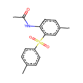 CC(=O)Nc1ccc(C)cc1S(=O)(=O)c1ccc(C)cc1